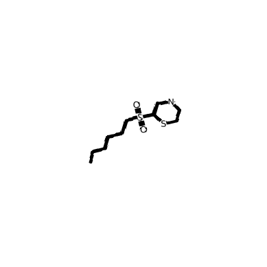 CCCCCCS(=O)(=O)C1C[N]CCS1